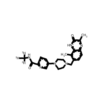 [2H]C([2H])([2H])NC(=O)c1ccc(N2CCN(Cc3ccc4nc(C)c(=O)[nH]c4c3C)CC2)cn1